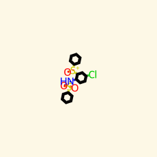 O=S(=O)(Nc1ccc(Cl)cc1[S+]([O-])c1ccccc1)c1ccccc1